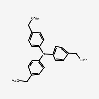 COCc1ccc(N(c2ccc(COC)cc2)c2ccc(COC)cc2)cc1